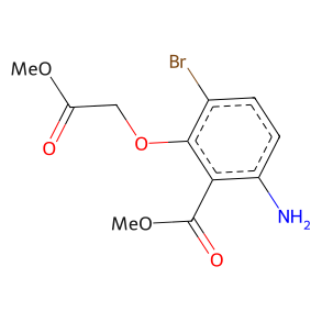 COC(=O)COc1c(Br)ccc(N)c1C(=O)OC